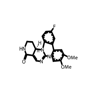 COc1ccc(-c2cc(F)ccc2N2C(N)=NC=C3C(=O)NCC[C@H]32)cc1OC